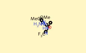 COc1cc2nc(N3CCC(Cc4ccccc4)(C(=O)NCc4ccc(C(F)(F)F)nc4)CC3)nc(N)c2cc1OC